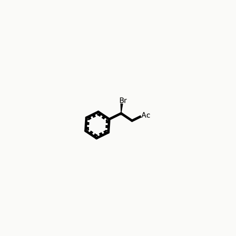 CC(=O)C[C@H](Br)c1ccccc1